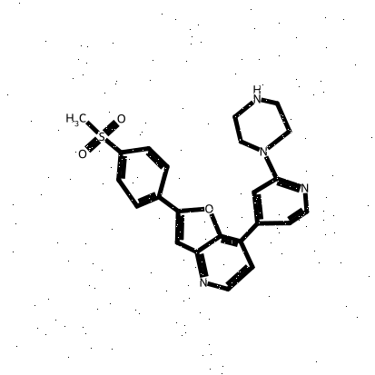 CS(=O)(=O)c1ccc(-c2cc3nccc(-c4ccnc(N5CCNCC5)c4)c3o2)cc1